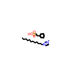 CCCCCCCCCCCCN1C=CN(C)C1.O=S(=O)(O)C=Cc1ccccc1